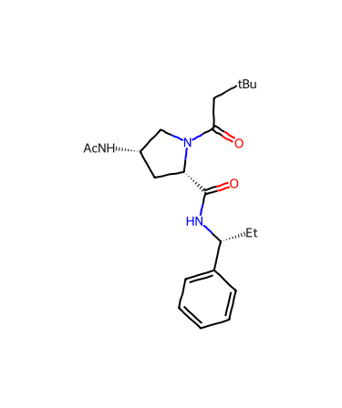 CC[C@@H](NC(=O)[C@@H]1C[C@H](NC(C)=O)CN1C(=O)CC(C)(C)C)c1ccccc1